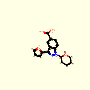 O=C(O)c1ccc2c(c1)c(-c1ccco1)nn2C1CCCCO1